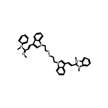 C/N=C(\C=C\c1cn(CCSSCCn2cc(/C=C/c3n(C)c4ccccc4[n+]3C)c3ccccc32)c2ccccc12)N(C)c1ccccc1